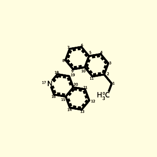 CCc1ccc2ccccc2c1.c1ccc2cnccc2c1